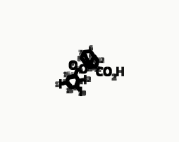 O=C(OC12CC3CC(C1)CC(C(=O)O)(C3)C2)c1cc(I)cc(I)c1I